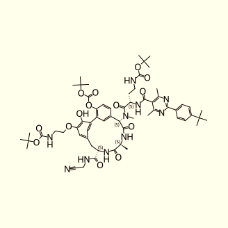 Cc1nc(-c2ccc(C(C)(C)C)cc2)nc(C)c1C(=O)N[C@@H](CCNC(=O)OC(C)(C)C)C(=O)N(C)[C@@H]1C(=O)N[C@@H](C)C(=O)N[C@H](C(=O)NCC#N)Cc2cc(OCCNC(=O)OC(C)(C)C)c(O)c(c2)-c2cc1ccc2OC(=O)OC(C)(C)C